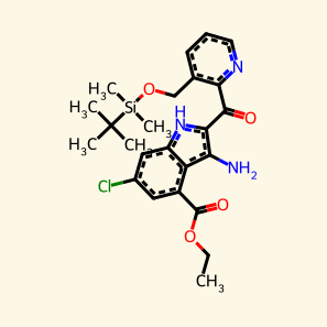 CCOC(=O)c1cc(Cl)cc2[nH]c(C(=O)c3ncccc3CO[Si](C)(C)C(C)(C)C)c(N)c12